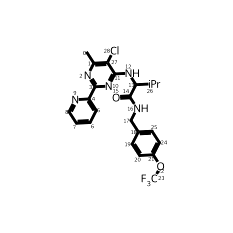 Cc1nc(-c2ccccn2)nc(NC(C(=O)NCc2ccc(OC(F)(F)F)cc2)C(C)C)c1Cl